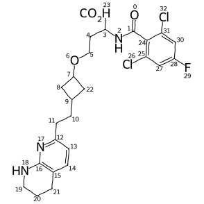 O=C(NC(CCOC1CC(CCc2ccc3c(n2)NCCC3)C1)C(=O)O)c1c(Cl)cc(F)cc1Cl